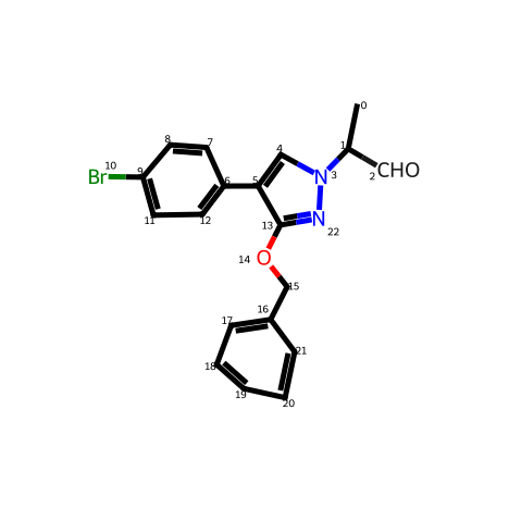 CC(C=O)n1cc(-c2ccc(Br)cc2)c(OCc2ccccc2)n1